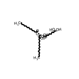 CCCCCCCCCCCCCC(=O)OC[C@H](COP(=O)(O)OCCCCCCC(O)CO)OC(=O)CCCCCCCCCCCCC